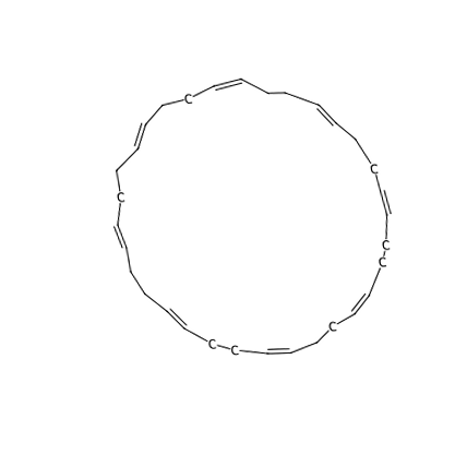 C1=CCCC=CCCC=CCCC=CCCC=CCCC=CCCC=CCCC=CCC1